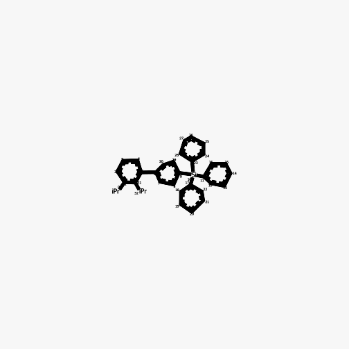 CC(C)c1cccc(-c2ccc([Si](c3ccccc3)(c3ccccc3)c3ccccc3)cc2)c1C(C)C